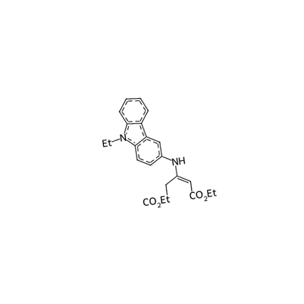 CCOC(=O)C=C(CC(=O)OCC)Nc1ccc2c(c1)c1ccccc1n2CC